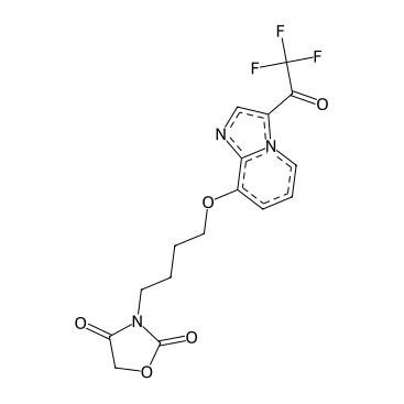 O=C1COC(=O)N1CCCCOc1cccn2c(C(=O)C(F)(F)F)cnc12